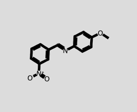 COc1ccc(N=[C]c2cccc([N+](=O)[O-])c2)cc1